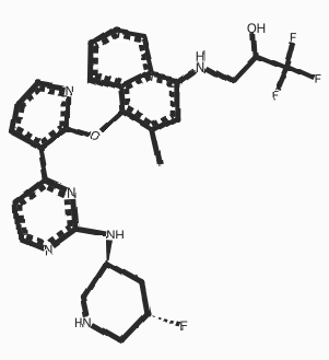 Cc1cc(NCC(O)C(F)(F)F)c2ccccc2c1Oc1ncccc1-c1ccnc(N[C@@H]2CNC[C@@H](F)C2)n1